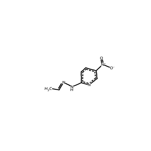 CC=NNc1ccc([N+](=O)[O-])cn1